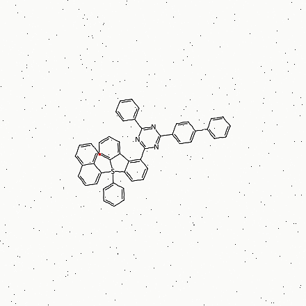 c1ccc(-c2ccc(-c3nc(-c4ccccc4)nc(-c4cccc5c4-c4ccccc4S5(c4ccccc4)c4cccc5ccccc45)n3)cc2)cc1